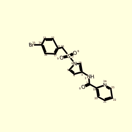 O=C(Nc1ccn(S(=O)(=O)Cc2ccc(Br)cc2)c1)c1ccccn1